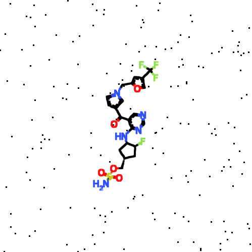 NS(=O)(=O)OC[C@@H]1C[C@H](F)[C@H](Nc2ncncc2C(=O)c2ccn(Cc3cc(C(F)(F)F)co3)c2)C1